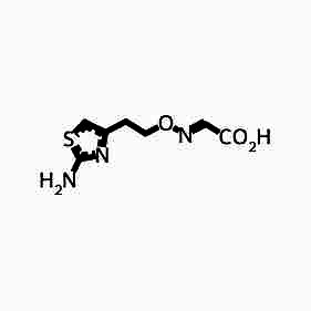 Nc1nc(CCON=CC(=O)O)cs1